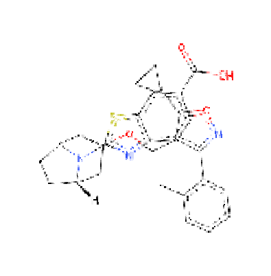 Cc1ccccc1-c1noc(C2CC2)c1COC1CC2CC[C@@H](C1)N2c1nc2ccc(C(=O)O)cc2s1